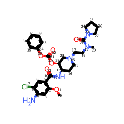 COc1cc(N)c(Cl)cc1C(=O)N[C@@H]1CCN(CCN(C)C(=O)N2CCCC2)C[C@@H]1OC(=O)Oc1ccccc1